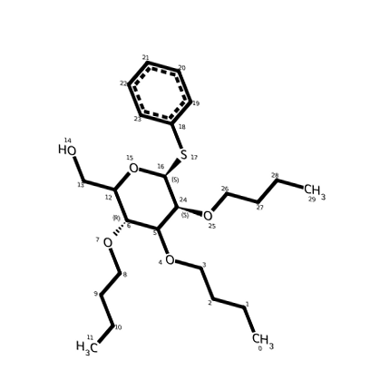 CCCCOC1[C@H](OCCCC)C(CO)O[C@@H](Sc2ccccc2)[C@H]1OCCCC